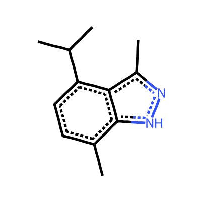 Cc1ccc(C(C)C)c2c(C)n[nH]c12